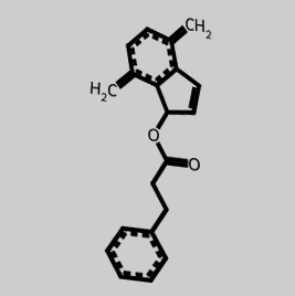 C=c1ccc(=C)c2c1C=CC2OC(=O)CCc1ccccc1